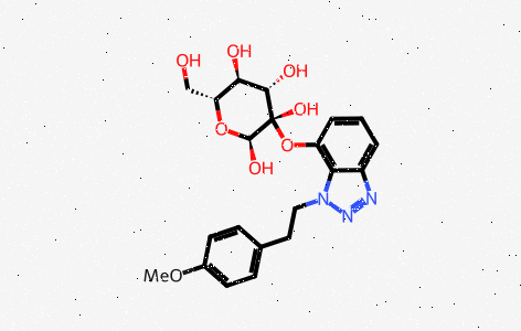 COc1ccc(CCn2nnc3cccc(O[C@]4(O)[C@@H](O)O[C@H](CO)[C@@H](O)[C@@H]4O)c32)cc1